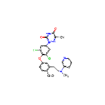 CN(CCc1cc(Oc2c(Cl)cc(-n3nc(C#N)c(=O)[nH]c3=O)cc2Cl)ccc1C=O)c1cccnc1